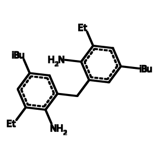 CCc1cc(C(C)CC)cc(Cc2cc(C(C)CC)cc(CC)c2N)c1N